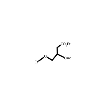 CCOCC(CC(=O)OCC)OC(C)=O